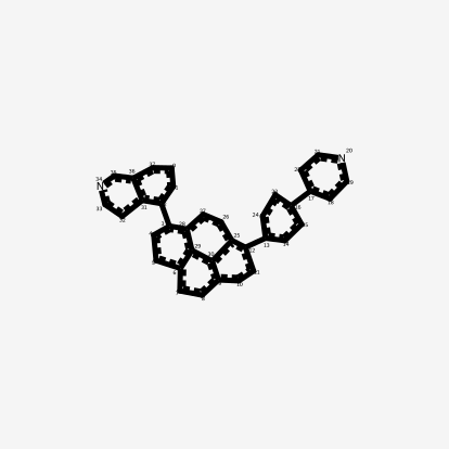 c1cc(-c2ccc3ccc4ccc(-c5ccc(-c6ccncc6)cc5)c5ccc2c3c45)c2ccncc2c1